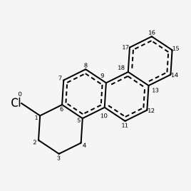 ClC1CCCc2c1ccc1c2ccc2ccccc21